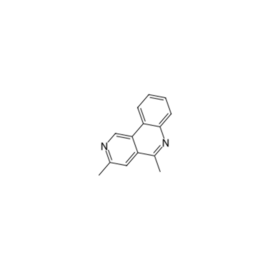 Cc1cc2c(C)nc3ccccc3c2cn1